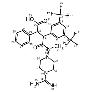 CN(C(=O)C(c1cc(C(F)(F)F)cc(C(F)(F)F)c1)C(C(=O)O)c1ccccc1)N1CCN(C(=N)N)CC1